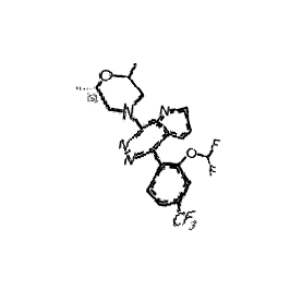 CC1CN(c2nnc(-c3ccc(C(F)(F)F)cc3OC(F)F)c3cccnc23)C[C@H](C)O1